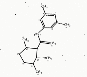 C=C(Nc1cc(C)cc(C)c1)C1C(C)CCC(C)[C@H]1C